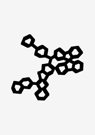 c1ccc(-c2ccc(N(c3ccc4c(c3)C3(c5ccccc5-c5ccccc53)c3ccccc3-4)c3ccc4c(c3)oc3c(-c5ccc6ccccc6c5)c5ccccc5cc34)cc2)cc1